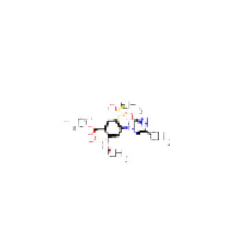 COC(=O)c1cc(S(C)(=O)=O)c(-n2cnc(C)c2)cc1OC